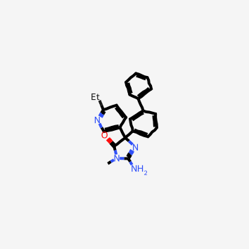 CCc1ccc(C2(c3cccc(-c4ccccc4)c3)N=C(N)N(C)C2=O)cn1